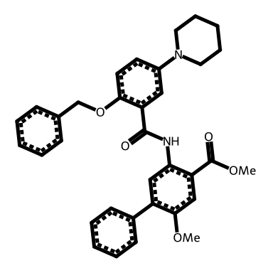 COC(=O)c1cc(OC)c(-c2ccccc2)cc1NC(=O)c1cc(N2CCCCC2)ccc1OCc1ccccc1